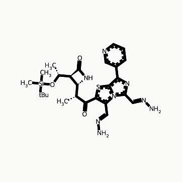 C[C@@H](O[Si](C)(C)C(C)(C)C)[C@H]1C(=O)N[C@@H]1[C@@H](C)C(=O)c1sc2c(-c3cccnc3)nc(C=NN)n2c1C=NN